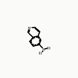 CCN(CC)c1ccc2c(c1)C=C[N+]=C2